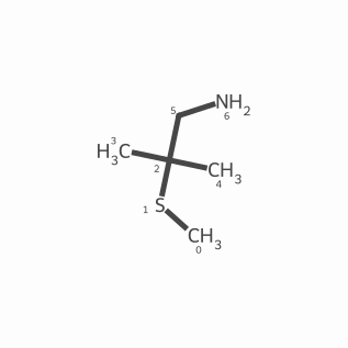 CSC(C)(C)CN